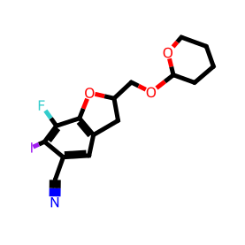 N#Cc1cc2c(c(F)c1I)OC(COC1CCCCO1)C2